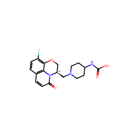 O=C(O)NC1CCN(C[C@@H]2COc3c(F)ccc4ccc(=O)n2c34)CC1